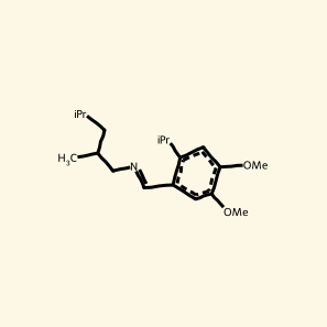 COc1cc(C=NCC(C)CC(C)C)c(C(C)C)cc1OC